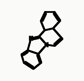 C1=CC2C=Cn3c(nc4ccccc43)C2C=C1